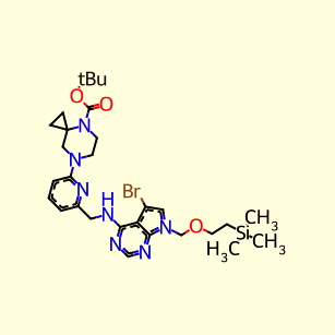 CC(C)(C)OC(=O)N1CCN(c2cccc(CNc3ncnc4c3c(Br)cn4COCC[Si](C)(C)C)n2)CC12CC2